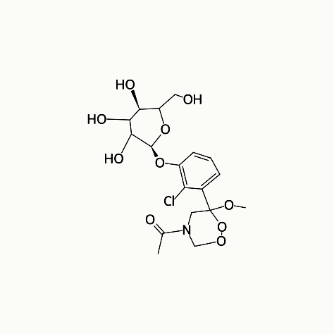 COC1(c2cccc(O[C@@H]3OC(CO)[C@H](O)C(O)C3O)c2Cl)CN(C(C)=O)COO1